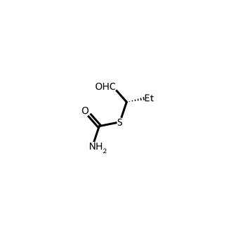 CC[C@@H](C=O)SC(N)=O